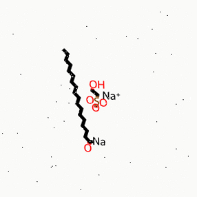 CCCCCCCCCCCCCCCCC[C](=O)[Na].O=S(=O)([O-])CCO.[Na+]